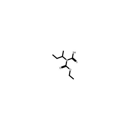 CCOC(=O)N(C(=S)S)C(C)CC